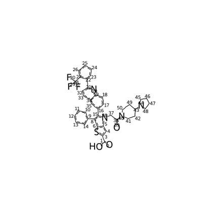 O=C(O)c1cc2c(s1)c(-c1ccccc1)c(-c1ccc3nc(-c4ccccc4C(F)(F)F)ccc3c1)n2CC(=O)N1CCC(N2CCCC2)CC1